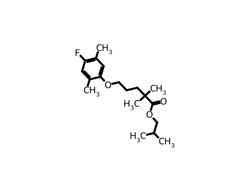 Cc1cc(OCCCC(C)(C)C(=O)OCC(C)C)c(C)cc1F